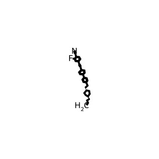 C=CCC[C@H]1CC[C@H](CCc2ccc(-c3ccc(C#Cc4ccc(C#N)c(F)c4)cc3)cc2)CC1